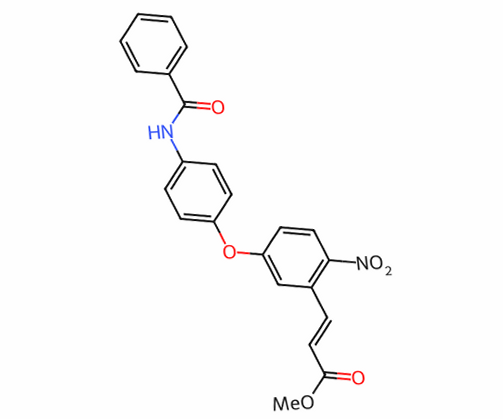 COC(=O)/C=C/c1cc(Oc2ccc(NC(=O)c3ccccc3)cc2)ccc1[N+](=O)[O-]